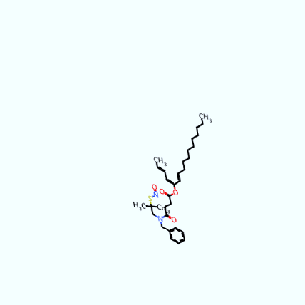 CC=CC=C(C=CCCCCCCCCCC)OC(=O)CCC(=O)N(Cc1ccccc1)CC(C)(C)SN=O